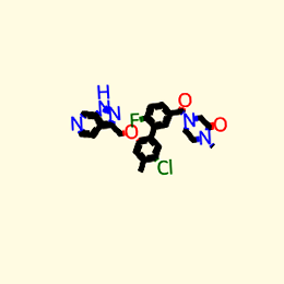 Cc1cc(OCc2n[nH]c3cnccc23)c(-c2cc(C(=O)N3CCN(C)C(=O)C3)ccc2F)cc1Cl